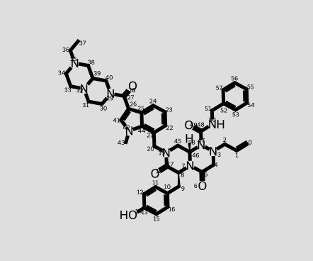 C=CCN1CC(=O)N2[C@@H](Cc3ccc(O)cc3)C(=O)N(Cc3cccc4c(C(=O)N5CCN6CCN(CC)CC6C5)cn(C)c34)C[C@@H]2N1C(=O)NCc1ccccc1